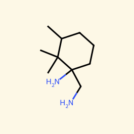 CC1CCCC(N)(CN)C1(C)C